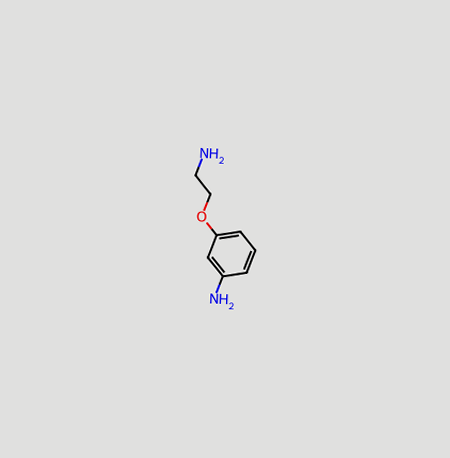 NCCOc1cccc(N)c1